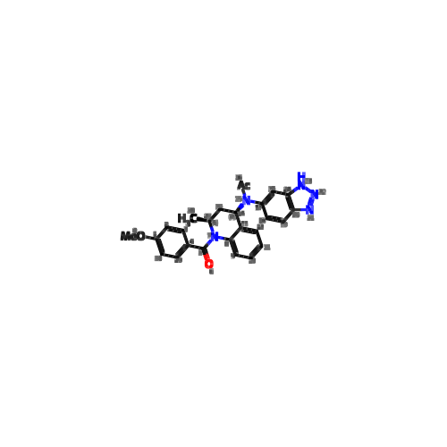 COc1ccc(C(=O)N2c3ccccc3[C@H](N(C(C)=O)c3ccc4nn[nH]c4c3)C[C@@H]2C)cc1